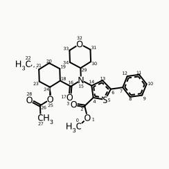 COC(=O)c1sc(-c2ccccc2)cc1N(C(=O)C1CC[C@@H](C)C[C@@H]1OC(C)=O)C1CCOCC1